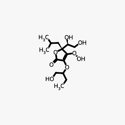 CCC(CO)OC1=C(OO)[C@@](CC(C)C)([C@@H](O)CO)OC1=O